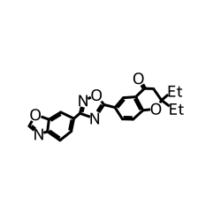 CCC1(CC)CC(=O)c2cc(-c3nc(-c4ccc5ncoc5c4)no3)ccc2O1